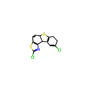 ClC1=CC2=C(CC1)SC1C=Cc3sc(Cl)nc3C21